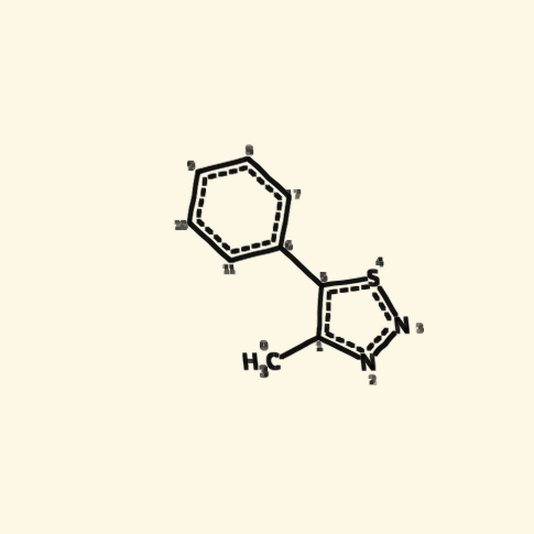 Cc1nnsc1-c1[c]cccc1